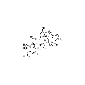 CC(C)C[C@H](N)C(=O)O.CC(COC(CC(=O)[O-])C[N+](C)(C)C)OC(CC(=O)[O-])C[N+](C)(C)C.CN1CC(=O)NC1=N.NCC(=O)O